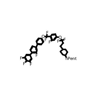 CCCCCC1CCC(CCC(F)(F)Oc2ccc(C(F)(F)Oc3ccc(-c4ccc(-c5cc(F)c(F)c(F)c5)c(F)c4)cc3)c(F)c2)CC1